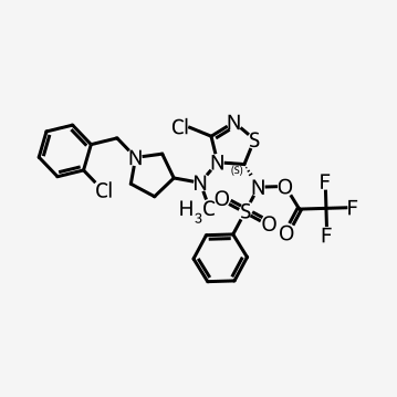 CN(C1CCN(Cc2ccccc2Cl)C1)N1C(Cl)=NS[C@@H]1N(OC(=O)C(F)(F)F)S(=O)(=O)c1ccccc1